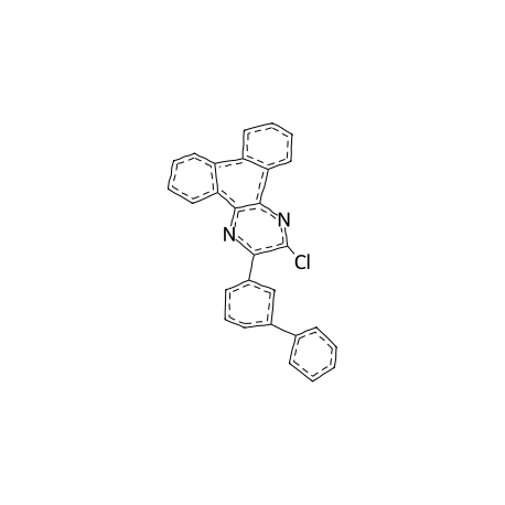 Clc1nc2c3ccccc3c3ccccc3c2nc1-c1cccc(-c2ccccc2)c1